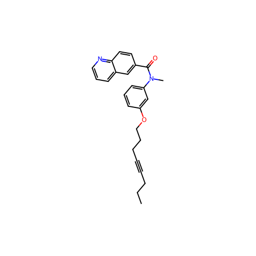 CCCC#CCCCOc1cccc(N(C)C(=O)c2ccc3ncccc3c2)c1